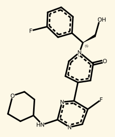 O=c1cc(-c2nc(NC3CCOCC3)ncc2F)ccn1[C@H](CO)c1cccc(F)c1